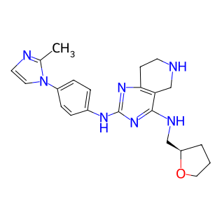 Cc1nccn1-c1ccc(Nc2nc3c(c(NC[C@H]4CCCO4)n2)CNCC3)cc1